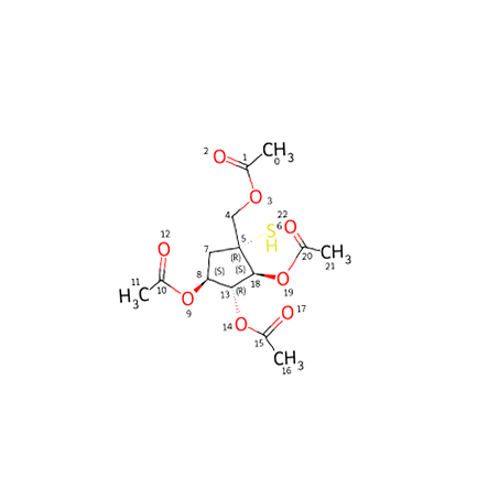 CC(=O)OC[C@]1(S)C[C@H](OC(C)=O)[C@@H](OC(C)=O)[C@@H]1OC(C)=O